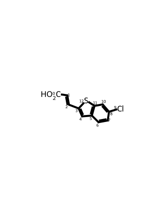 O=C(O)/C=C/c1cc2ccc(Cl)cc2s1